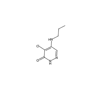 CCCNc1cn[nH]c(=O)c1Cl